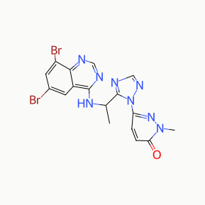 CC(Nc1ncnc2c(Br)cc(Br)cc12)c1ncnn1-c1ccc(=O)n(C)n1